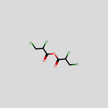 O=C(OC(=O)C(Cl)CCl)C(Cl)CCl